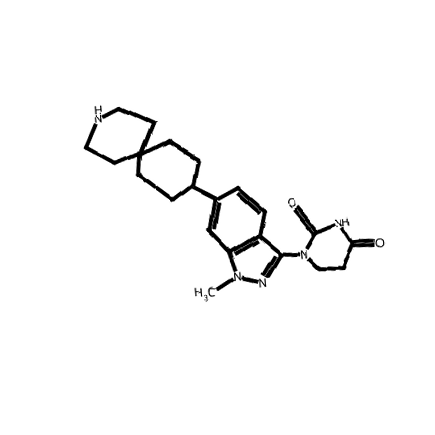 Cn1nc(N2CCC(=O)NC2=O)c2ccc(C3CCC4(CCNCC4)CC3)cc21